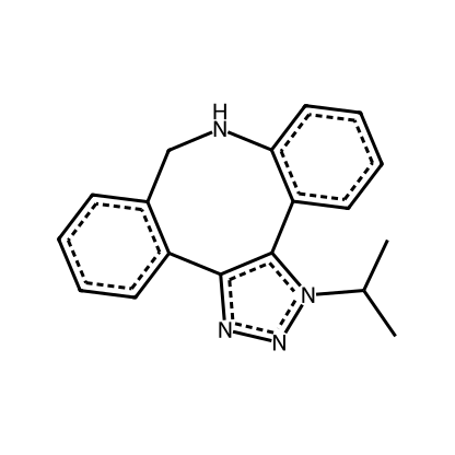 CC(C)n1nnc2c1-c1ccccc1NCc1ccccc1-2